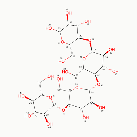 OC[C@@H]1O[C@H](O[C@@H]2[C@@H](O)[C@H](O)[C@@H](O[C@@H]3[C@@H](O)[C@H](O)[C@H](O[C@@H]4[C@@H](O)[C@H](O)C(O)O[C@H]4CO)O[C@H]3CO)O[C@H]2CO)[C@@H](O)[C@H](O)[C@H]1O